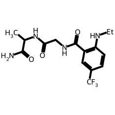 CCNc1ccc(C(F)(F)F)cc1C(=O)NCC(=O)NC(C)C(N)=O